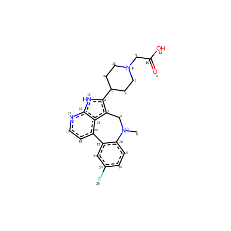 CN1Cc2c(C3CCN(CC(=O)O)CC3)[nH]c3nccc(c23)-c2cc(F)ccc21